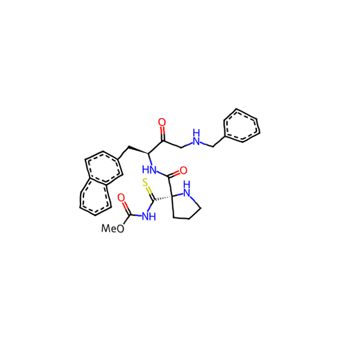 COC(=O)NC(=S)[C@@]1(C(=O)N[C@@H](Cc2ccc3ccccc3c2)C(=O)CNCc2ccccc2)CCCN1